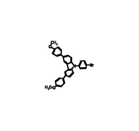 COc1ccc(-c2ccc3c(c2)c2cc(-c4ccc(OC)cc4)ccc2n3-c2ccc(Br)cc2)cc1